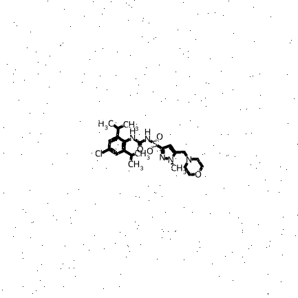 CC(C)c1cc(Cl)cc(C(C)C)c1NC(=O)NS(=O)(=O)c1cc(CN2CCOCC2)n(C)n1